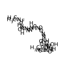 Cc1ncsc1-c1ccc(CNC(=O)[C@@H]2C[C@@H](O)CN2C(=O)[C@@H](NC(=O)C2(F)CC2)C(C)(C)C)c(OCC(=O)NCCN2CCN(CCOCC(=O)NCc3cccc(CNc4cc(N5CCC6(CC5)CN(c5cc(F)c(CN7CCC(C)(C)CC7)cc5F)CC(=O)N6)ncn4)c3)CC2)c1